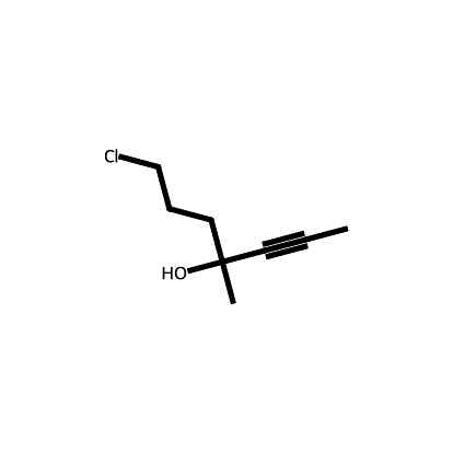 CC#CC(C)(O)CCCCl